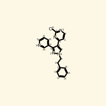 Clc1nccc(-c2cn(CCc3ccccc3)nc2-c2cccnc2)n1